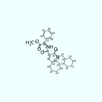 COC(=O)[C@H](NC(=O)c1cc2c(n(CC3CCCCC3)c1=O)CCCCC2)c1ccccc1